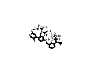 COc1cc(-c2ccc(OCc3cccc(C(C4CC4)C(C)(C)P(=O)(O)O)c3)cc2CN(C(C)C)C(C)C)c(F)cn1